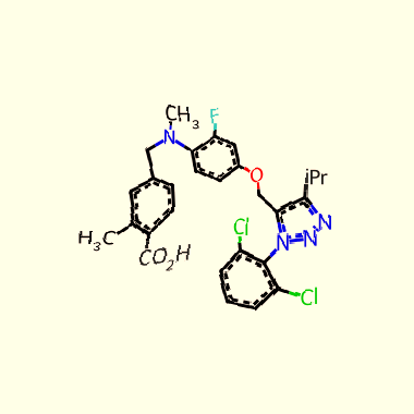 Cc1cc(CN(C)c2ccc(OCc3c(C(C)C)nnn3-c3c(Cl)cccc3Cl)cc2F)ccc1C(=O)O